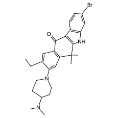 CCc1cc2c(cc1N1CCC(N(C)C)CC1)C(C)(C)c1[nH]c3cc(Br)ccc3c1C2=O